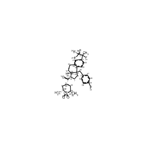 C[C@@H]1C[C@H](C(=O)N2CC[C@@]3(Cc4ccc(F)cc4)c4ccc(C(C)(F)C(F)(F)F)cc4CC[C@@H]23)C[C@H](C)S1(=O)=O